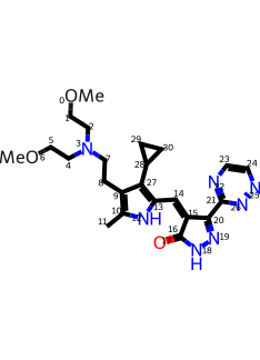 COCCN(CCOC)CCc1c(C)[nH]c(C=C2C(=O)NN=C2c2nccnn2)c1C1CC1